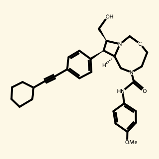 COc1ccc(NC(=O)N2CCCCN3[C@H](CO)[C@H](c4ccc(C#CC5CCCCC5)cc4)[C@@H]3C2)cc1